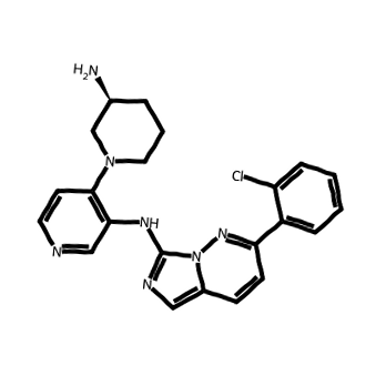 N[C@H]1CCCN(c2ccncc2Nc2ncc3ccc(-c4ccccc4Cl)nn23)C1